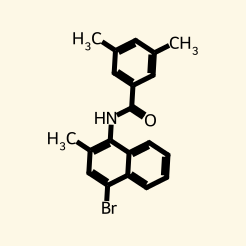 Cc1cc(C)cc(C(=O)Nc2c(C)cc(Br)c3ccccc23)c1